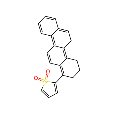 O=S1(=O)C=C[C]=C1C1=c2ccc3c(c2CCC1)CC=c1ccccc1=3